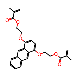 C=C(C)C(=O)OCCOc1ccc(OCCOC(=O)C(=C)C)c2cc3ccccc3cc12